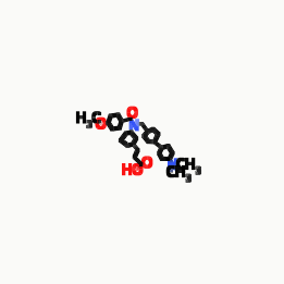 COc1ccc(C(=O)N(Cc2ccc(-c3ccc(N(C)C)cc3)cc2)c2cccc(C=CC(=O)O)c2)cc1